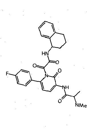 CNC(C)C(=O)Nc1ccc(-c2ccc(F)cc2)n(C(=O)C(=O)NC2CCCc3ccccc32)c1=O